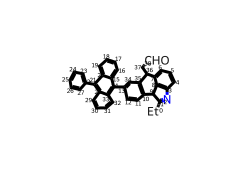 CCC1=Nc2cccc3c2C1c1ccc(-c2c4ccccc4c(-c4ccccc4)c4ccccc24)cc1C3CC=O